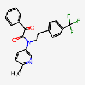 Cc1ccc(N(CCc2ccc(C(F)(F)F)cc2)C(=O)C(=O)c2ccccc2)cn1